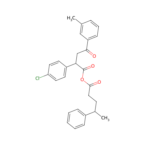 Cc1cccc(C(=O)CC(C(=O)OC(=O)CCC(C)c2ccccc2)c2ccc(Cl)cc2)c1